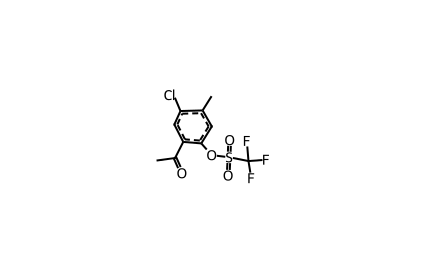 CC(=O)c1cc(Cl)c(C)cc1OS(=O)(=O)C(F)(F)F